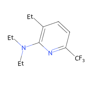 CCc1ccc(C(F)(F)F)nc1N(CC)CC